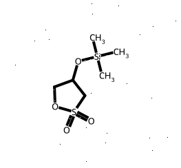 C[Si](C)(C)OC1COS(=O)(=O)C1